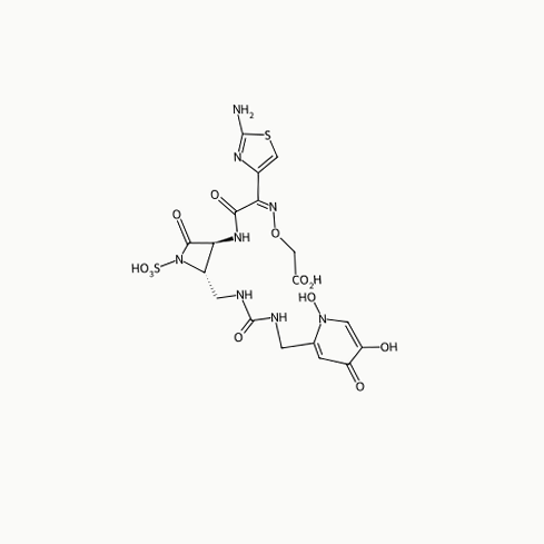 Nc1nc(C(=NOCC(=O)O)C(=O)N[C@@H]2C(=O)N(S(=O)(=O)O)[C@H]2CNC(=O)NCc2cc(=O)c(O)cn2O)cs1